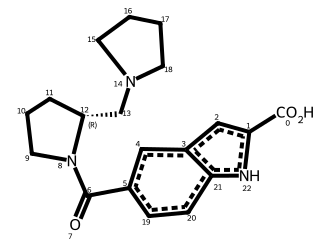 O=C(O)c1cc2cc(C(=O)N3CCC[C@@H]3CN3CCCC3)ccc2[nH]1